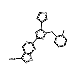 CC(=O)Nc1n[nH]c2nc(-c3cc(-c4ccon4)n(Cc4ccccc4F)n3)ncc12